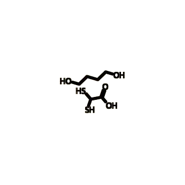 O=C(O)C(S)S.OCCCCO